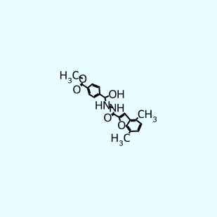 COC(=O)c1ccc(C(O)NNC(=O)c2cc3c(C)ccc(C)c3o2)cc1